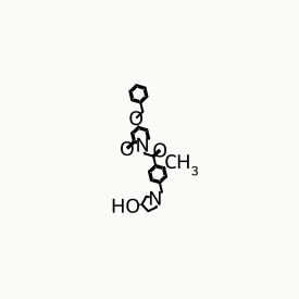 Cc1cc(CN2CC[C@H](O)C2)ccc1C(=O)Cn1ccc(OCc2ccccc2)cc1=O